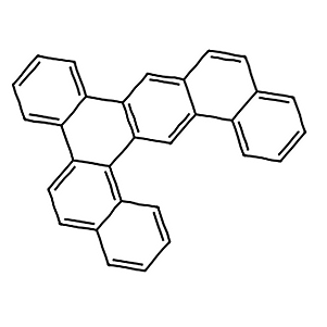 c1ccc2c(c1)ccc1cc3c4ccccc4c4ccc5ccccc5c4c3cc12